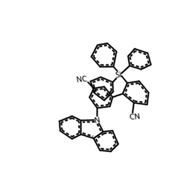 N#Cc1cc(-c2c(C#N)cccc2[Si](c2ccccc2)(c2ccccc2)c2ccccc2)cc(-n2c3ccccc3c3ccccc32)c1